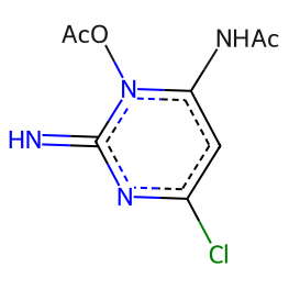 CC(=O)Nc1cc(Cl)nc(=N)n1OC(C)=O